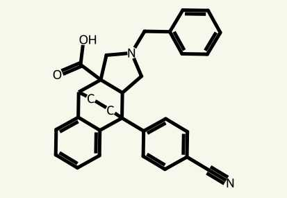 N#Cc1ccc(C23CCC(c4ccccc42)C2(C(=O)O)CN(Cc4ccccc4)CC32)cc1